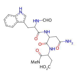 CNC(=O)C(CC(=O)O)NC(=O)C(CC(N)=O)NC(=O)C(Cc1c[nH]c2ccccc12)NC=O